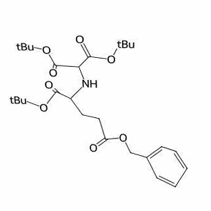 CC(C)(C)OC(=O)C(CCC(=O)OCc1ccccc1)NC(C(=O)OC(C)(C)C)C(=O)OC(C)(C)C